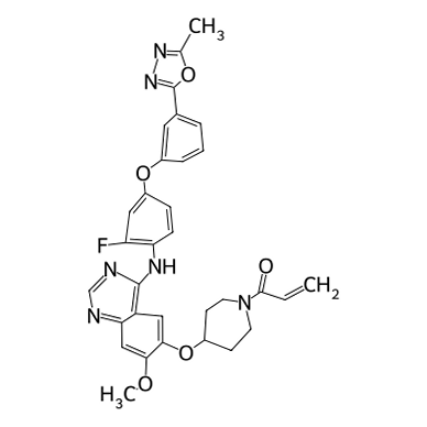 C=CC(=O)N1CCC(Oc2cc3c(Nc4ccc(Oc5cccc(-c6nnc(C)o6)c5)cc4F)ncnc3cc2OC)CC1